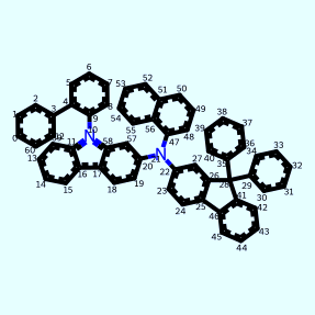 c1ccc(-c2ccccc2-n2c3ccccc3c3ccc(N(c4ccc5c(c4)C(c4ccccc4)(c4ccccc4)c4ccccc4-5)c4cccc5ccccc45)cc32)cc1